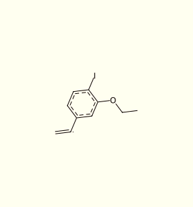 C=[C]c1ccc(I)c(OCC)c1